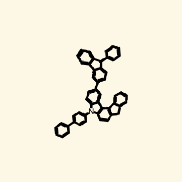 c1ccc(-c2ccc(-n3c4ccc(-c5ccc6c(c5)-c5ccccc5C6c5ccccc5)cc4c4c5c(ccc43)Cc3ccccc3-5)cc2)cc1